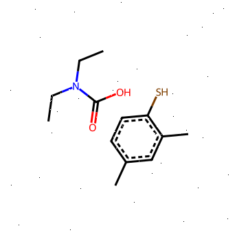 CCN(CC)C(=O)O.Cc1ccc(S)c(C)c1